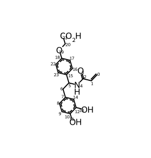 C=CC(=O)NC(Cc1ccc(O)c(O)c1)c1ccc(OCC(=O)O)cc1